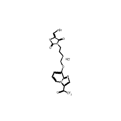 CCCC=C1SC(=O)N(CCCCOc2cccn3c(C(=O)C(F)(F)F)cnc23)C1=O.Cl